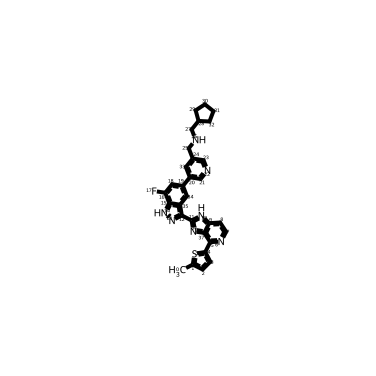 Cc1ccc(-c2nccc3[nH]c(-c4n[nH]c5c(F)cc(-c6cncc(CNCC7CCCC7)c6)cc45)nc23)s1